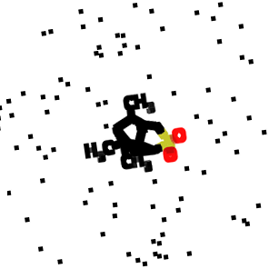 CC1C2CS(=O)(=O)C3CC1C(C)(C)C23